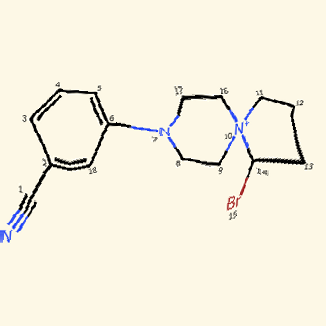 N#Cc1cccc(N2CC[N+]3(CCCC3Br)CC2)c1